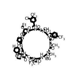 CCO[C@@H]1C[C@H]2C(=O)NC3(CCCC3)C(=O)N(C)[C@@H](C3CCCCC3)C(=O)N(C)[C@H](C(=O)N3CCOCC3)CC(=O)N(C)[C@@H](CC(F)(F)F)C(=O)N[C@@H](C(C)CC)C(=O)N(C)CC(=O)N(C)CC(=O)N(C)[C@@H](Cc3ccc(C(F)(F)F)cc3)C(=O)N(C)CC(=O)N[C@@H](CCc3ccc(C(F)(F)F)c(Cl)c3)C(=O)N2C1